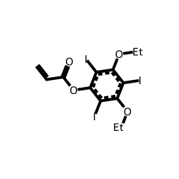 C=CC(=O)Oc1c(I)c(OCC)c(I)c(OCC)c1I